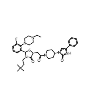 CCN1CCN(c2c(F)cccc2C2SC(CC(=O)N3CCC(n4cc(-c5ccccc5)[nH]c4=O)CC3)C(=O)N2CCC(C)(C)C)CC1